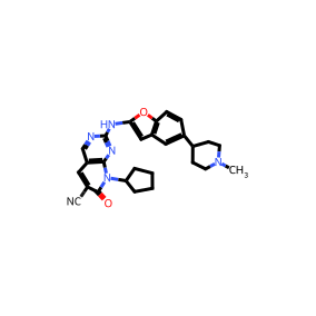 CN1CCC(c2ccc3oc(Nc4ncc5cc(C#N)c(=O)n(C6CCCC6)c5n4)cc3c2)CC1